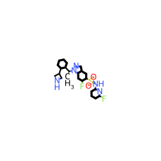 C[C@H](c1ccccc1C1CNC1)n1ncc2cc(S(=O)(=O)Nc3cccc(F)n3)c(F)cc21